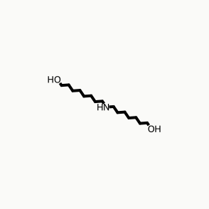 OCCCCCCCCNCCCCCCCO